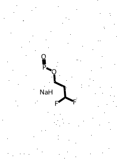 O=POCCC(F)F.[NaH]